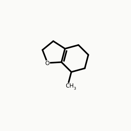 CC1CCCC2=C1OCC2